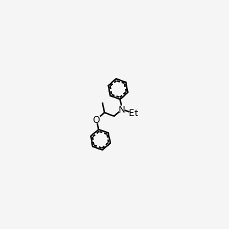 CCN(CC(C)Oc1ccccc1)c1ccccc1